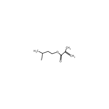 C=C(C)C(=O)OCCC(C)F